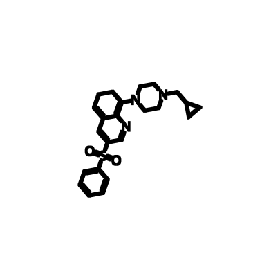 O=S(=O)(c1ccccc1)c1cnc2c(c1)=CCCC=2N1CCN(CC2CC2)CC1